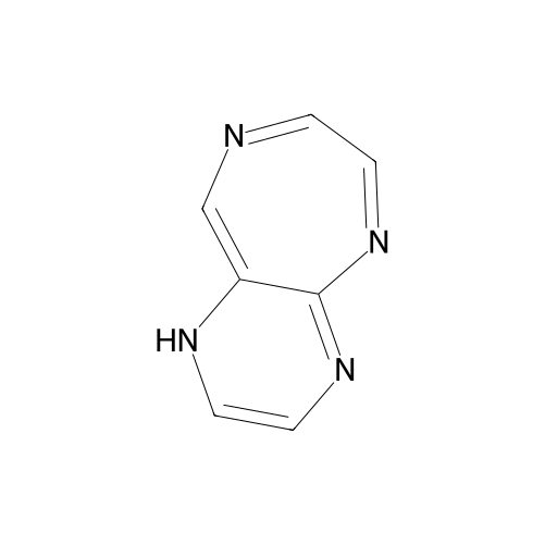 C1=CNC2=CN=CC=NC2=N1